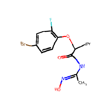 CC(=NO)NC(=O)C(Oc1ccc(Br)cc1F)C(C)C